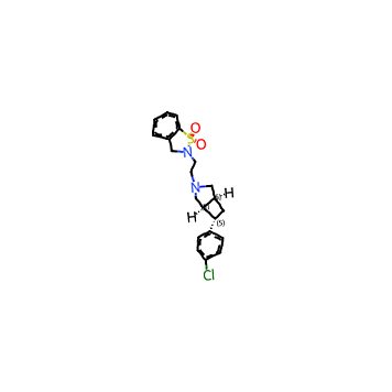 O=S1(=O)c2ccccc2CN1CCN1C[C@H]2C[C@H](c3ccc(Cl)cc3)[C@H]2C1